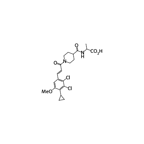 COc1cc(C=CC(=O)N2CCC(C(=O)NC(C)C(=O)O)CC2)c(Cl)c(Cl)c1C1CC1